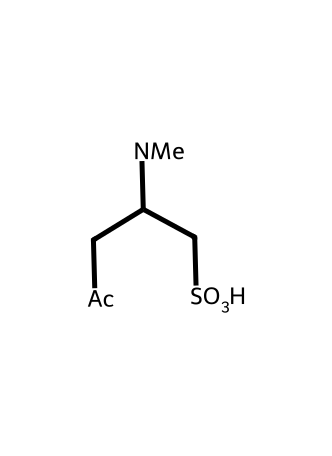 CNC(CC(C)=O)CS(=O)(=O)O